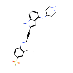 CCn1c(C#CCNc2ccc(S(C)(=O)=O)cc2C)cc2c(NC3CCN(C)CC3)cccc21